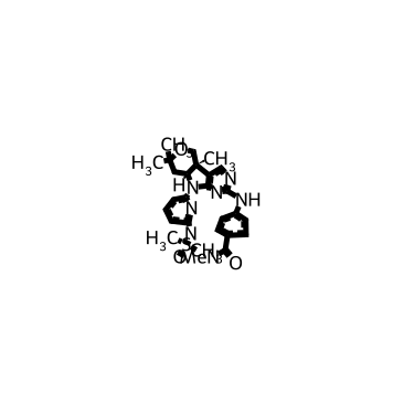 CNC(=O)c1ccc(Nc2ncc3c(n2)N(c2cccc(N=S(C)(C)=O)n2)[C@H]2CC(C)(C)OC[C@@]32C)cc1